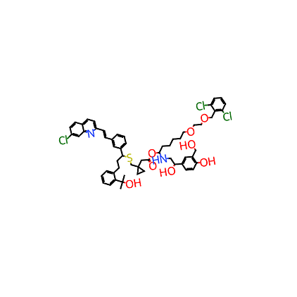 CC(C)(O)c1ccccc1CCC(SCC1(CC(=O)OC(CCCCCOCCOCc2c(Cl)cccc2Cl)NCC(O)c2ccc(O)c(CO)c2)CC1)c1cccc(C=Cc2ccc3ccc(Cl)cc3n2)c1